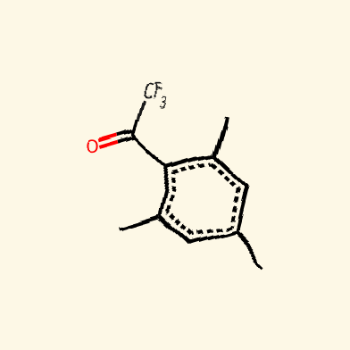 Cc1cc(C)c(C(=O)C(F)(F)F)c(C)c1